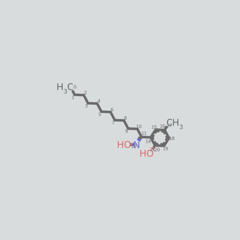 CCCCCCCCCCCC(=NO)c1cc(C)ccc1O